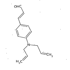 C=CCN(CC=C)c1ccc(C=CC=O)cc1